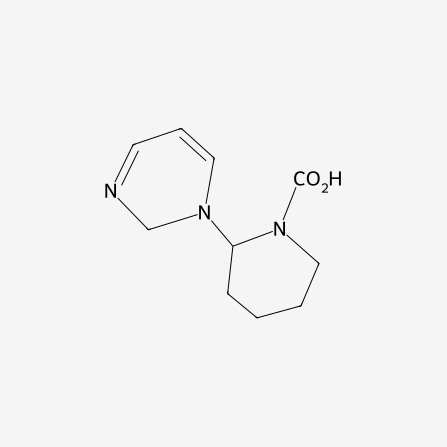 O=C(O)N1CCCCC1N1C=CC=NC1